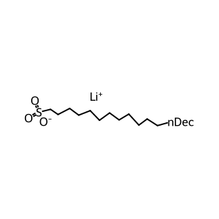 CCCCCCCCCCCCCCCCCCCCCCS(=O)(=O)[O-].[Li+]